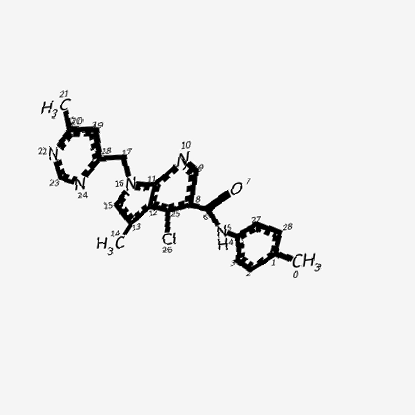 Cc1ccc(NC(=O)c2cnc3c(c(C)cn3Cc3cc(C)ncn3)c2Cl)cc1